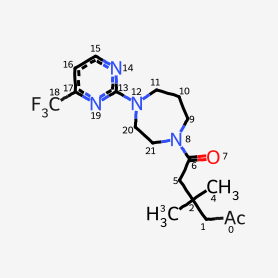 CC(=O)CC(C)(C)CC(=O)N1CCCN(c2nccc(C(F)(F)F)n2)CC1